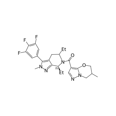 CCC1Cc2c(nn(C)c2-c2cc(F)c(F)c(F)c2)[C@H](CC)N1C(=O)c1cnn2c1OCC(C)C2